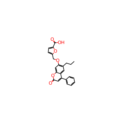 CCCc1cc2c(-c3ccccc3)cc(=O)oc2cc1OCc1ccc(C(=O)O)o1